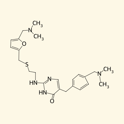 CN(C)Cc1ccc(Cc2cnc(NCCSCc3ccc(CN(C)C)o3)[nH]c2=O)cc1